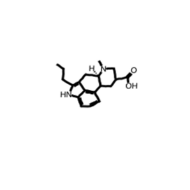 CCCc1[nH]c2cccc3c2c1C[C@@H]1C3CC(C(=O)O)CN1C